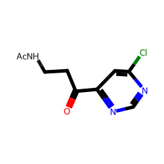 CC(=O)NCCC(=O)c1cc(Cl)ncn1